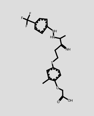 Cc1cc(SCCC(=N)C(C)NNc2ccc(C(F)(F)F)cc2)ccc1OCC(=O)O